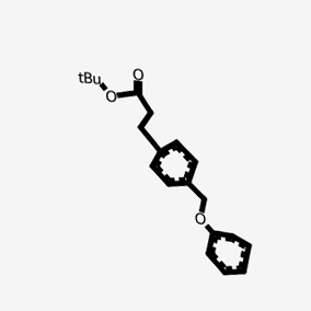 CC(C)(C)OC(=O)CCc1ccc(COc2ccccc2)cc1